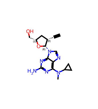 C#C[C@H]1C[C@@H](CO)O[C@H]1n1cnc2c(N(C)C3CC3)nc(N)nc21